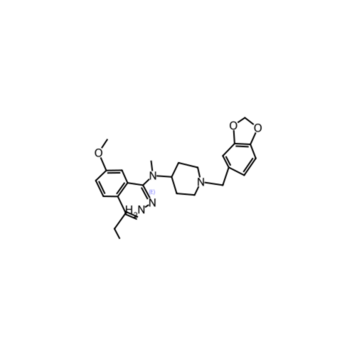 C=C(CC)c1ccc(OC)cc1/C(=N\N)N(C)C1CCN(Cc2ccc3c(c2)OCO3)CC1